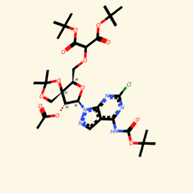 CC(=O)O[C@H]1[C@H](n2ncc3c(NC(=O)OC(C)(C)C)nc(Cl)nc32)O[C@H](COC(C(=O)OC(C)(C)C)C(=O)OC(C)(C)C)[C@]12COC(C)(C)O2